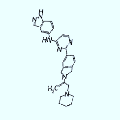 C=C(CN1CCCCC1)N1Cc2ccc(-c3nccc(Nc4ccc5[nH]ncc5c4)n3)cc2C1